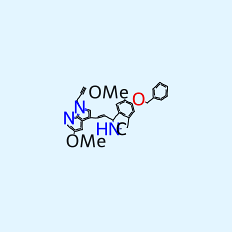 C#CCn1cc(/C=C/C2NCCc3cc(OCc4ccccc4)c(OC)cc32)c2cc(OC)cnc21